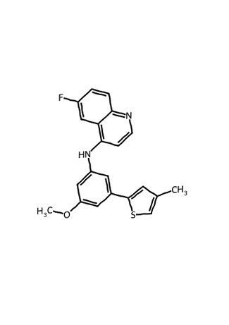 COc1cc(Nc2ccnc3ccc(F)cc23)cc(-c2cc(C)cs2)c1